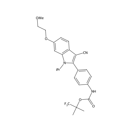 COCCOc1ccc2c(C#N)c(-c3ccc(NC(=O)OC(C)(C)C(F)(F)F)cc3)n(C(C)C)c2c1